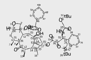 CC(=O)O[C@@]12CO[C@@H]1C[C@H](C)[C@@]1(C)C(=O)[C@H](C)C3=C(C)[C@@H](OC(=O)[C@H](O[Si](C)(C)C(C)(C)C)[C@@H](NC(=O)OC(C)(C)C)c4ccccc4)C[C@@](O)([C@@H](OC(=O)c4ccccc4)C12)C3(C)C